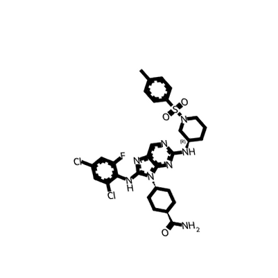 Cc1ccc(S(=O)(=O)N2CCC[C@@H](Nc3ncc4nc(Nc5c(F)cc(Cl)cc5Cl)n([C@H]5CC[C@H](C(N)=O)CC5)c4n3)C2)cc1